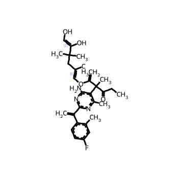 C=C(c1nc(C)c(C(C)(C(=C)O/C=C(\C)CC(C)(C)/C(O)=C/O)C(=O)CC)c(N)n1)c1ccc(F)cc1C